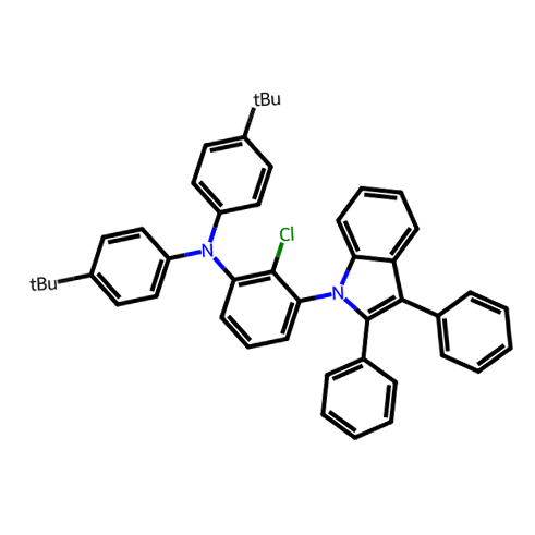 CC(C)(C)c1ccc(N(c2ccc(C(C)(C)C)cc2)c2cccc(-n3c(-c4ccccc4)c(-c4ccccc4)c4ccccc43)c2Cl)cc1